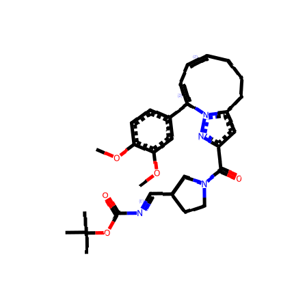 COc1ccc(/C2=C/C=C\CCCc3cc(C(=O)N4CCC(/C=N/C(=O)OC(C)(C)C)C4)nn32)cc1OC